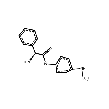 N[C@H](C(=O)Nc1ccc(NC(=O)O)cc1)c1ccccc1